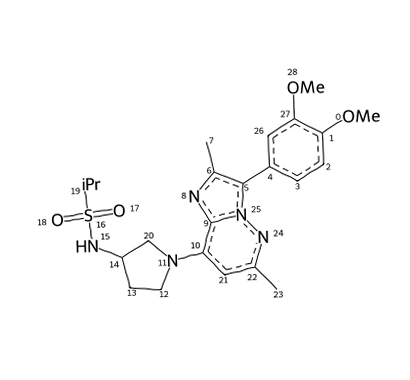 COc1ccc(-c2c(C)nc3c(N4CCC(NS(=O)(=O)C(C)C)C4)cc(C)nn23)cc1OC